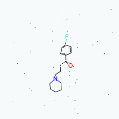 O=C(CCCN1CCCCC1)c1ccc(F)cc1